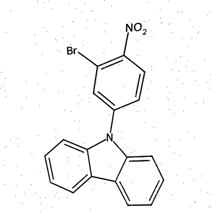 O=[N+]([O-])c1ccc(-n2c3ccccc3c3ccccc32)cc1Br